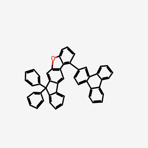 c1ccc(C2(c3ccccc3)c3ccccc3-c3cc4c(cc32)oc2cccc(-c3ccc5c6ccccc6c6ccccc6c5c3)c24)cc1